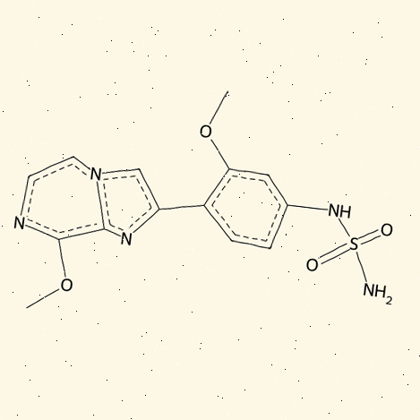 COc1cc(NS(N)(=O)=O)ccc1-c1cn2ccnc(OC)c2n1